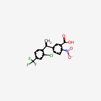 C=C(c1ccc([N+](=O)[O-])c(C(=O)O)c1)c1ccc(C(F)(F)F)cc1Cl